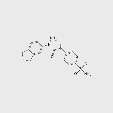 NN(C(=O)Nc1ccc(S(N)(=O)=O)cc1)c1ccc2c(c1)CCC2